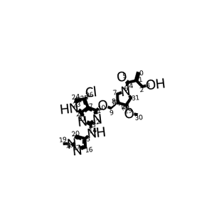 C=C(CO)C(=O)N1C[C@H](COc2nc(Nc3cnn(C)c3)nc3[nH]cc(Cl)c23)[C@@H](OC)C1